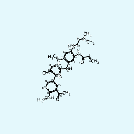 C=CC(=O)Nc1cc(Nc2ncc(Cl)c(-c3cnc(NC)c(C(C)=O)c3)n2)c(OC)cc1NCCN(C)C